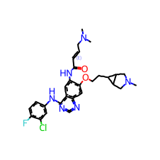 CN(C)C/C=C/C(=O)Nc1cc2c(Nc3ccc(F)c(Cl)c3)ncnc2cc1OCCC1C2CN(C)CC12